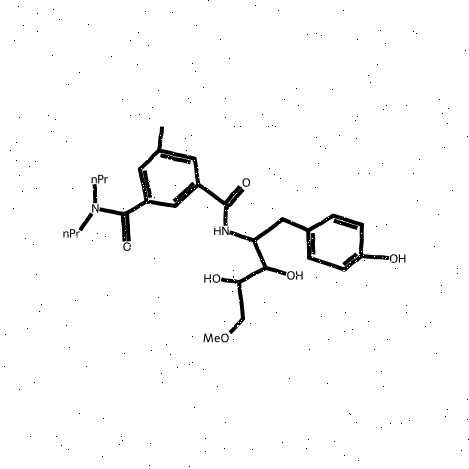 CCCN(CCC)C(=O)c1cc(C)cc(C(=O)NC(Cc2ccc(O)cc2)C(O)C(O)COC)c1